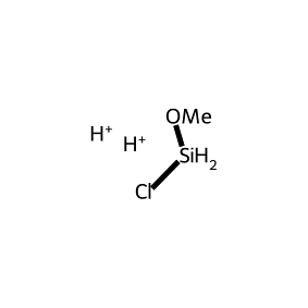 CO[SiH2]Cl.[H+].[H+]